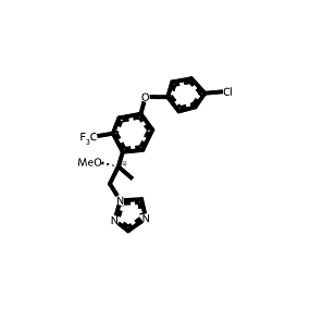 CO[C@](C)(Cn1cncn1)c1ccc(Oc2ccc(Cl)cc2)cc1C(F)(F)F